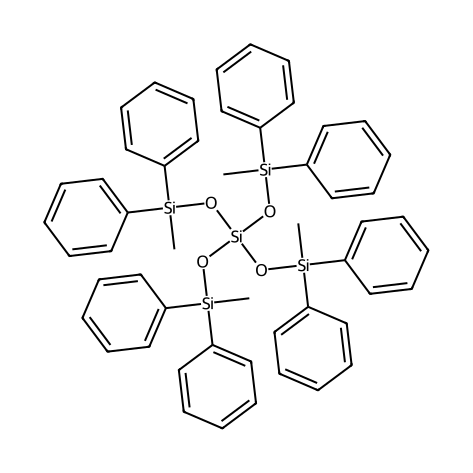 C[Si](O[Si](O[Si](C)(c1ccccc1)c1ccccc1)(O[Si](C)(c1ccccc1)c1ccccc1)O[Si](C)(c1ccccc1)c1ccccc1)(c1ccccc1)c1ccccc1